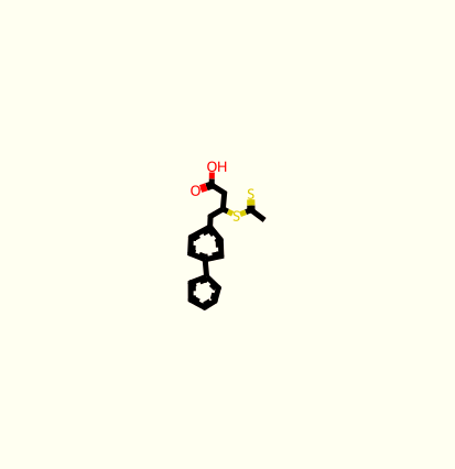 CC(=S)SC(CC(=O)O)Cc1ccc(-c2ccccc2)cc1